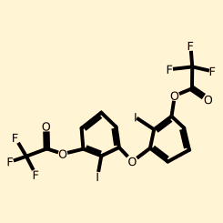 O=C(Oc1cccc(Oc2cccc(OC(=O)C(F)(F)F)c2I)c1I)C(F)(F)F